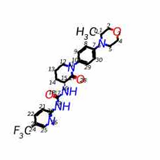 C[C@@H]1COCCN1c1ccc(N2CCC[C@@H](NC(=O)Nc3ccc(C(F)(F)F)cn3)C2=O)cc1